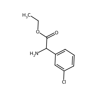 CCOC(=O)C(N)c1cccc(Cl)c1